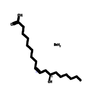 CCCCCC[C@@H](O)C/C=C\CCCCCCCC(=O)O.[BeH2]